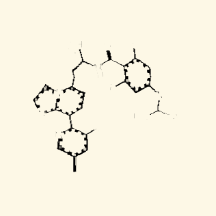 CCC(Nc1cc(F)c(C(=O)NC(Cc2ccc(-c3ncc(C)cc3C(F)(F)F)c3nccn23)C(=O)O)c(F)c1)C(F)(F)F